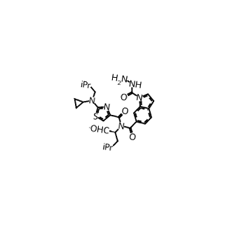 CC(C)C[C@@H]([C]=O)N(C(=O)c1ccc2ccn(C(=O)NN)c2c1)C(=O)c1csc(N(CC(C)C)C2CC2)n1